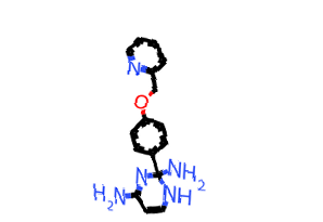 NC1=NC(N)(c2ccc(OCc3ccccn3)cc2)NC=C1